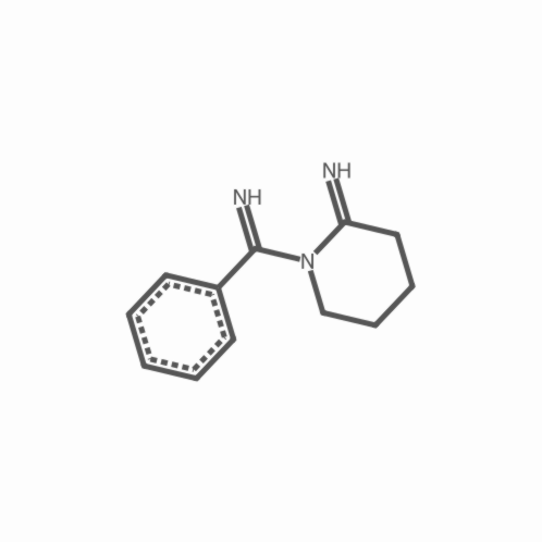 N=C1CCCCN1C(=N)c1ccccc1